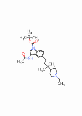 CCN1CCC(C(C)(C)CCc2ccc3c(c2)c(NC(C)=O)cn3C(=O)OC(C)(C)C)CC1